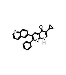 O=c1c(C2CC2)c[nH]c2nc(-c3ccccc3)c(-c3ccc4ncccc4c3)cc12